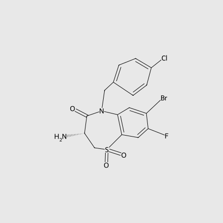 N[C@H]1CS(=O)(=O)c2cc(F)c(Br)cc2N(Cc2ccc(Cl)cc2)C1=O